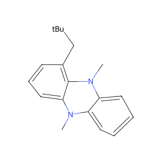 CN1c2ccccc2N(C)c2c(CC(C)(C)C)cccc21